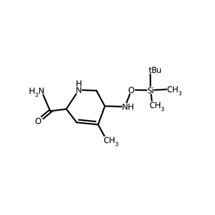 CC1=CC(C(N)=O)NCC1NO[Si](C)(C)C(C)(C)C